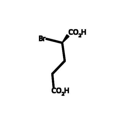 O=C(O)CC[C@@H](Br)C(=O)O